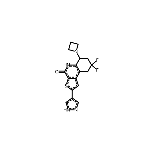 O=c1[nH]c2c(c3cc(-c4cn[nH]c4)sc13)CC(F)(F)CC2N1CCC1